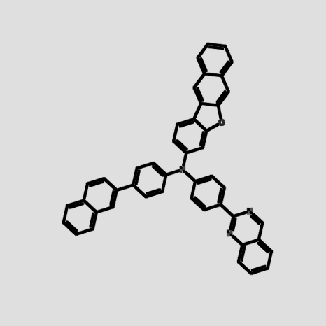 c1ccc2cc(-c3ccc(N(c4ccc(-c5ncc6ccccc6n5)cc4)c4ccc5c(c4)oc4cc6ccccc6cc45)cc3)ccc2c1